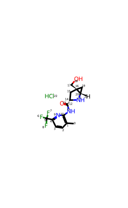 Cc1ccc(C(F)(F)F)nc1NC(=O)[C@@H]1C[C@]2(CO)C[C@@H]2N1.Cl